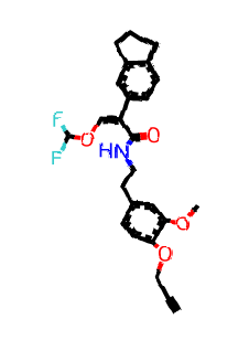 C#CCOc1ccc(CCNC(=O)C(=COC(F)F)c2ccc3c(c2)CCC3)cc1OC